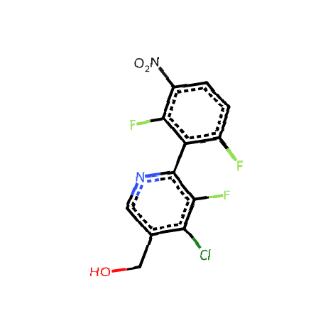 O=[N+]([O-])c1ccc(F)c(-c2ncc(CO)c(Cl)c2F)c1F